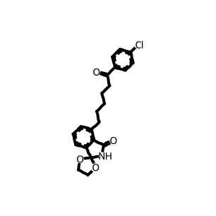 O=C(CCCCCc1cccc2c1C(=O)NC21OCCO1)c1ccc(Cl)cc1